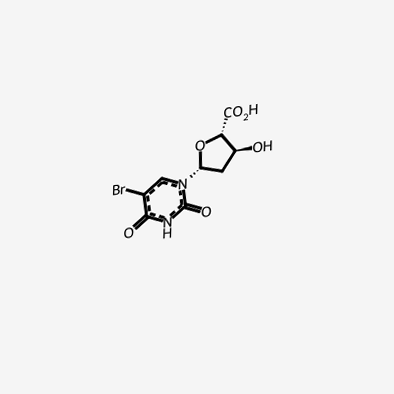 O=C(O)[C@H]1O[C@@H](n2cc(Br)c(=O)[nH]c2=O)C[C@@H]1O